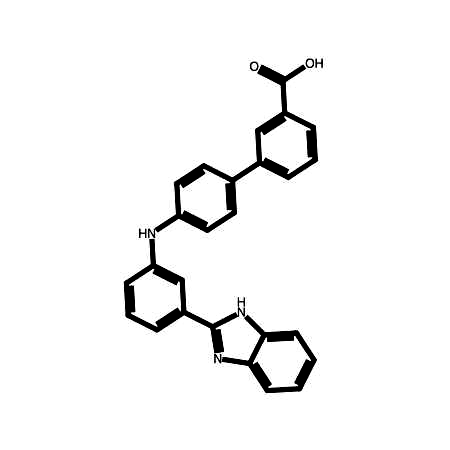 O=C(O)c1cccc(-c2ccc(Nc3cccc(-c4nc5ccccc5[nH]4)c3)cc2)c1